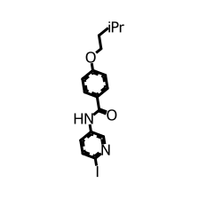 CC(C)CCOc1ccc(C(=O)Nc2ccc(I)nc2)cc1